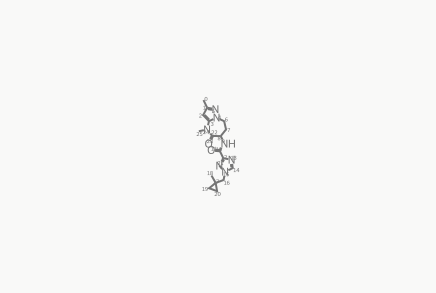 Cc1cc2n(n1)CCC(NC(=O)c1ncn(CC3(C)CC3)n1)C(=O)N2C